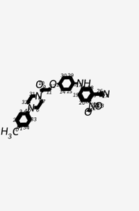 Cc1ccc(N2CCN(C(=O)CO[C@H]3CC[C@H](Nc4ccc([N+](=O)[O-])c(C#N)c4)CC3)CC2)cc1